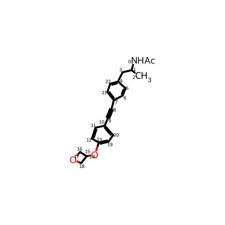 CC(=O)NC(C)Cc1ccc(C#Cc2ccc(OC3COC3)cc2)cc1